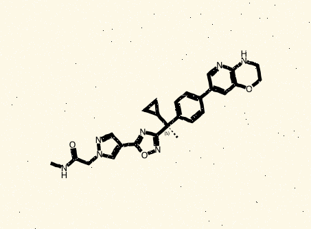 CNC(=O)Cn1cc(-c2nc([C@](C)(c3ccc(-c4cnc5c(c4)OCCN5)cc3)C3CC3)no2)cn1